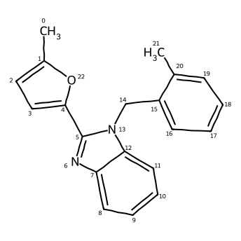 Cc1ccc(-c2nc3ccccc3n2Cc2ccccc2C)o1